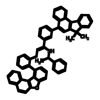 CC1(C)c2ccccc2-c2c1cc(-c1cccc(/C(=C/Cc3ccccc3-c3cccc4oc5ccc6ccccc6c5c34)NC(N)c3ccccc3)c1)c1ccccc21